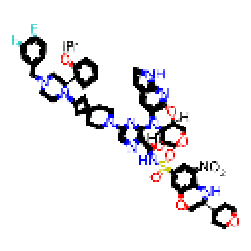 CC(C)Oc1ccccc1[C@@H]1CN(Cc2ccc(F)c(F)c2)CCN1C1CC2(CCN(c3cnc(C(=O)NS(=O)(=O)c4cc5c(c([N+](=O)[O-])c4)N[C@H](C4CCOCC4)CO5)c(N4c5cc6cc[nH]c6nc5O[C@H]5COCC[C@@H]54)n3)CC2)C1